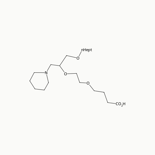 CCCCCCCOCC(CN1CCCCC1)OCCOCCCC(=O)O